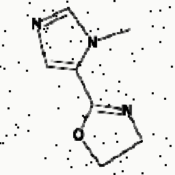 Cn1cncc1C1=NCCO1